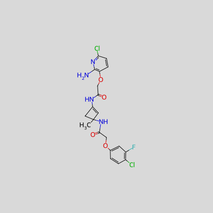 CC1(NC(=O)COc2ccc(Cl)c(F)c2)C=C(NC(=O)COc2ccc(Cl)nc2N)C1